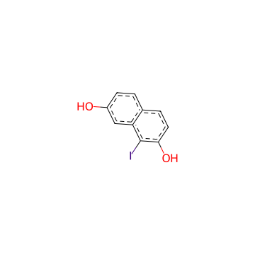 Oc1ccc2ccc(O)c(I)c2c1